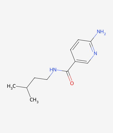 CC(C)CCNC(=O)c1ccc(N)nc1